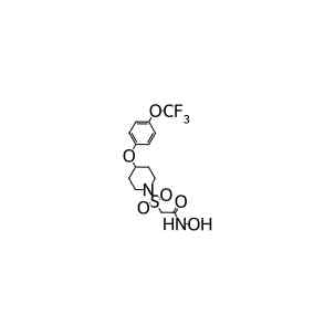 O=C(CS(=O)(=O)N1CCC(Oc2ccc(OC(F)(F)F)cc2)CC1)NO